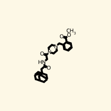 COC(=O)c1ccccc1CN1CCN(C(=O)CNC(=O)CC23CC4CC(CC(C4)C2)C3)CC1